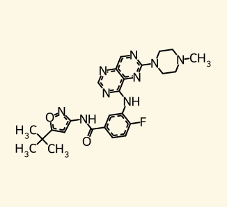 CN1CCN(c2ncc3ncnc(Nc4cc(C(=O)Nc5cc(C(C)(C)C)on5)ccc4F)c3n2)CC1